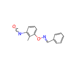 Cc1c(N=C=O)cccc1ON=Cc1ccccc1